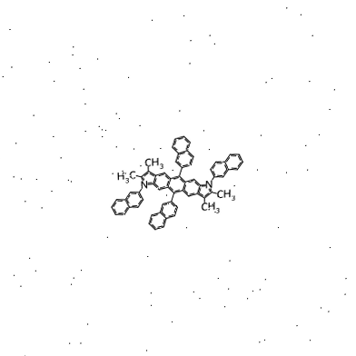 Cc1c(C)n(-c2ccc3ccccc3c2)c2cc3c(-c4ccc5ccccc5c4)c4cc5c(C)c(C)n(-c6ccc7ccccc7c6)c5cc4c(-c4ccc5ccccc5c4)c3cc12